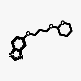 c1nc2cc(OCCCOC3CCCCO3)ccc2s1